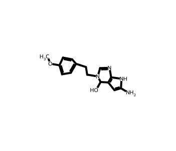 COc1ccc(CCN2C=Nc3[nH]c(N)cc3C2O)cc1